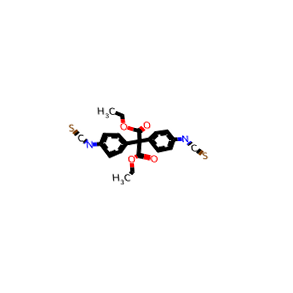 CCOC(=O)C(C(=O)OCC)(c1ccc(N=C=S)cc1)c1ccc(N=C=S)cc1